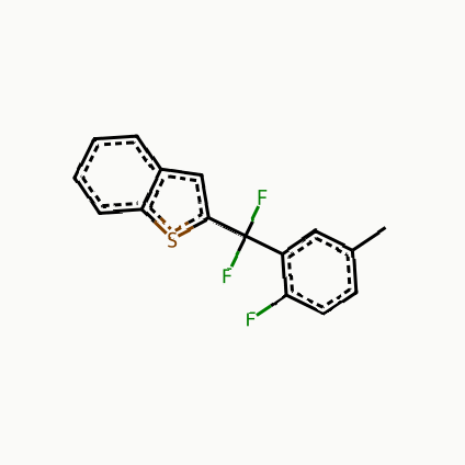 Cc1ccc(F)c(C(F)(F)c2cc3ccccc3s2)c1